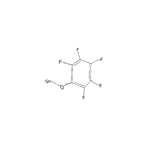 Fc1c(F)c(F)c([O][Sn])c(F)c1F